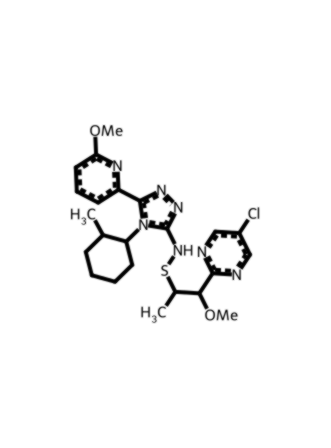 COc1cccc(-c2nnc(NSC(C)C(OC)c3ncc(Cl)cn3)n2C2CCCCC2C)n1